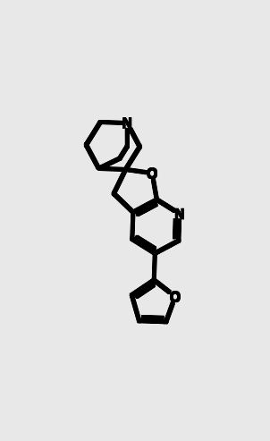 c1coc(-c2cnc3c(c2)CC2(CN4CCC2CC4)O3)c1